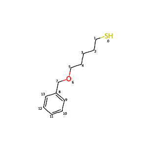 SCCCCCOCc1ccccc1